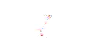 COc1ccccc1S(=O)(=O)NCCCCOCCCCCCNC[C@H](O)c1ccc2c(c1)COC(C)(C)O2